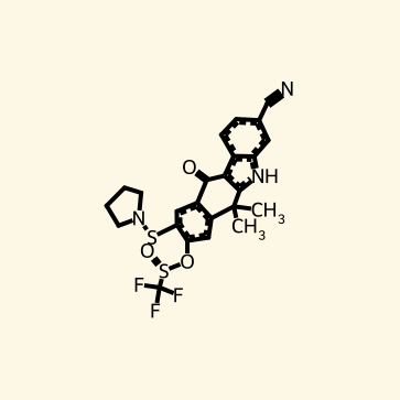 CC1(C)c2cc(OS(=O)C(F)(F)F)c(SN3CCCC3)cc2C(=O)c2c1[nH]c1cc(C#N)ccc21